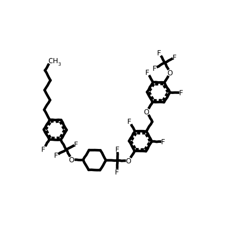 CCCCCCc1ccc(C(F)(F)OC2CCC(C(F)(F)Oc3cc(F)c(COc4cc(F)c(OC(F)(F)F)c(F)c4)c(F)c3)CC2)c(F)c1